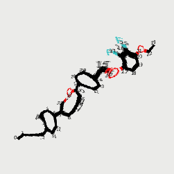 CCCC1CCC(C2CCC(C3CCC(COc4ccc(OCC)c(F)c4F)CC3)OC2)CC1